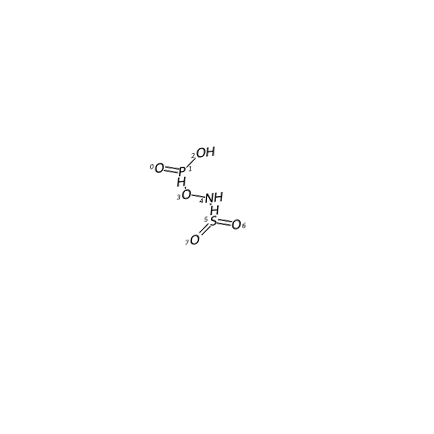 O=[PH](O)ON[SH](=O)=O